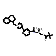 CC(C)(C)C(=O)OCN(N)/N=C(\N)c1ccnc(-c2cn(CC3CCCc4ccccc43)cn2)c1